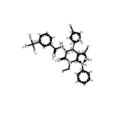 CCN1C(=O)[C@@H](NC(=O)c2cccc(C(F)(F)F)c2)[C@@H](c2cc(C)cs2)c2c(C)nn(-c3ccccc3)c21